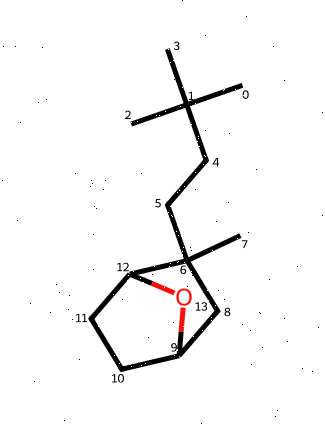 CC(C)(C)CCC1(C)CC2CCC1O2